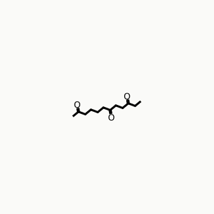 CCC(=O)CCC(=O)CCCCC(C)=O